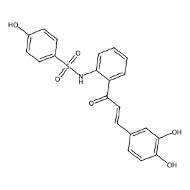 O=C(C=Cc1ccc(O)c(O)c1)c1ccccc1NS(=O)(=O)c1ccc(O)cc1